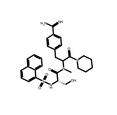 CN(C(=O)[C@H](CO)NS(=O)(=O)c1cccc2ccccc12)C(Cc1ccc(C(=N)N)cc1)C(=O)N1CCCCC1